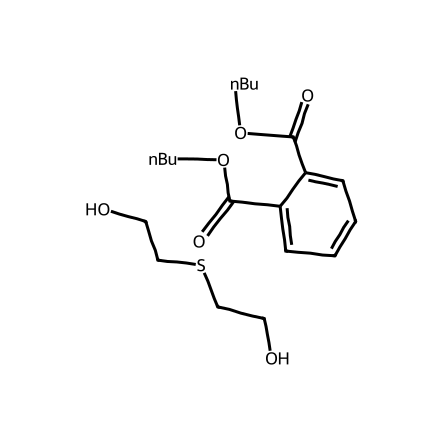 CCCCOC(=O)c1ccccc1C(=O)OCCCC.OCCSCCO